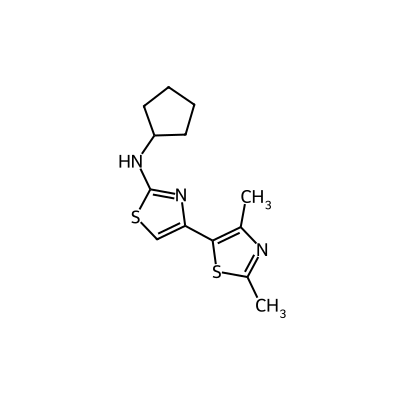 Cc1nc(C)c(-c2csc(NC3CCCC3)n2)s1